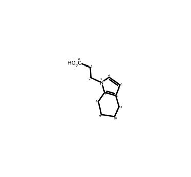 O=C(O)CCn1ccc2c1CCCC2